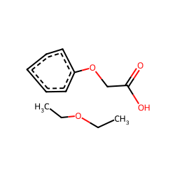 CCOCC.O=C(O)COc1ccccc1